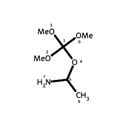 COC(OC)(OC)OC(C)N